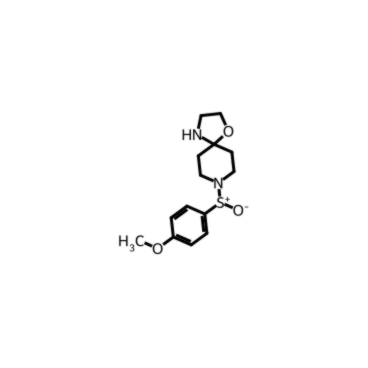 COc1ccc([S+]([O-])N2CCC3(CC2)NCCO3)cc1